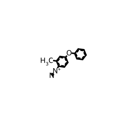 Cc1cc(Oc2ccccc2)ccc1[N+]#N